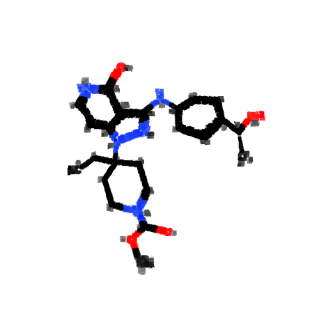 CC(C)(C)OC(=O)N1CCC(CC#N)(n2nc(Nc3ccc([C@H](O)C(F)(F)F)cc3)c3c(=O)[nH]ccc32)CC1